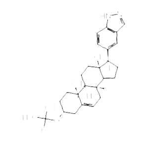 CC(C)(C)O[C@H]1CC[C@@]2(C)C(=CC[C@H]3[C@@H]4CC[C@H](c5ccc6[nH]ncc6c5)[C@@]4(C)CC[C@@H]32)C1